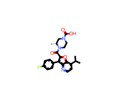 CC(C)c1ccnc2c(-c3ccc(F)cc3)c(C(=O)N3CCN(C(=O)O)C[C@H]3C)oc12